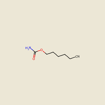 N#CCCCCCOC(N)=O